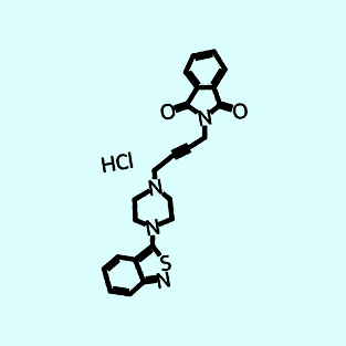 Cl.O=C1c2ccccc2C(=O)N1CC#CCN1CCN(c2snc3ccccc23)CC1